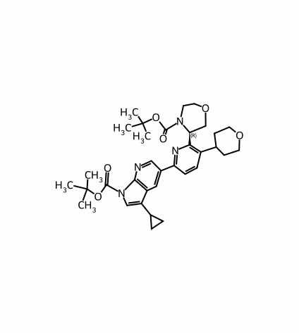 CC(C)(C)OC(=O)N1CCOC[C@H]1c1nc(-c2cnc3c(c2)c(C2CC2)cn3C(=O)OC(C)(C)C)ccc1C1CCOCC1